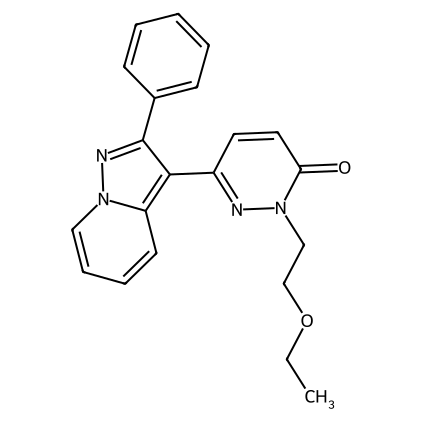 CCOCCn1nc(-c2c(-c3ccccc3)nn3ccccc23)ccc1=O